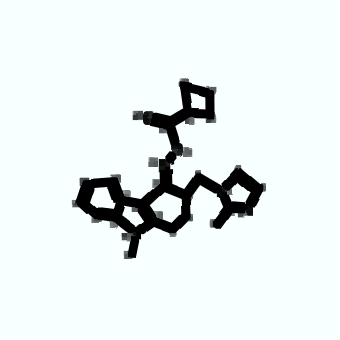 Cc1nccn1CC1CCc2c(c3ccccc3n2C)/C1=N/OC(=O)C1CCC1